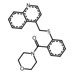 O=C(c1ccccc1SCc1ccnc2ccccc12)N1CCOCC1